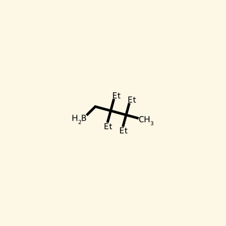 BCC(CC)(CC)C(C)(CC)CC